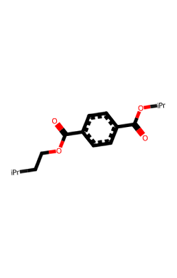 CC(C)CCOC(=O)c1ccc(C(=O)OC(C)C)cc1